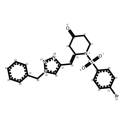 O=C1CCN(S(=O)(=O)c2ccc(Br)cc2)C(=Cc2cn(Cc3ccccc3)nn2)C1